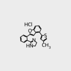 Cc1csc(-c2cccc3oc(-c4ccccc4C4=NCCN4)cc23)c1.Cl